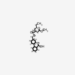 CCCCC(CC(=O)OC)[PH](=O)OCc1ccc(-c2ccccc2C(=O)O)cc1